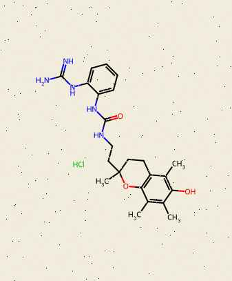 Cc1c(C)c2c(c(C)c1O)CCC(C)(CCNC(=O)Nc1ccccc1NC(=N)N)O2.Cl